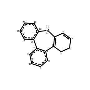 B1C2=C(CCC=C2)c2ccccc2-c2ccccc21